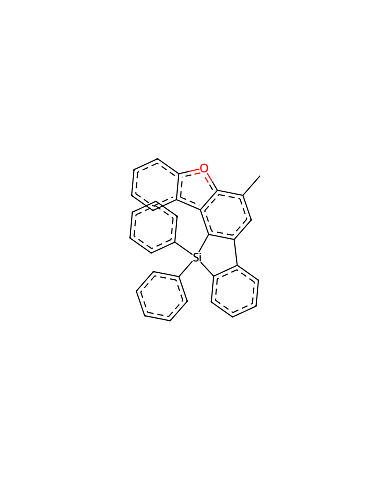 Cc1cc2c(c3c1oc1ccccc13)[Si](c1ccccc1)(c1ccccc1)c1ccccc1-2